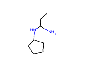 CCC(N)NC1CCCC1